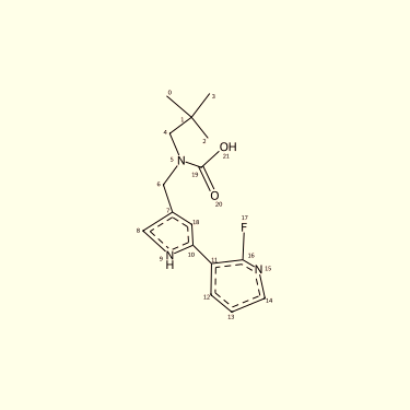 CC(C)(C)CN(Cc1c[nH]c(-c2cccnc2F)c1)C(=O)O